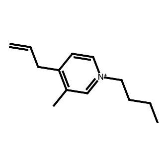 C=CCc1cc[n+](CCCC)cc1C